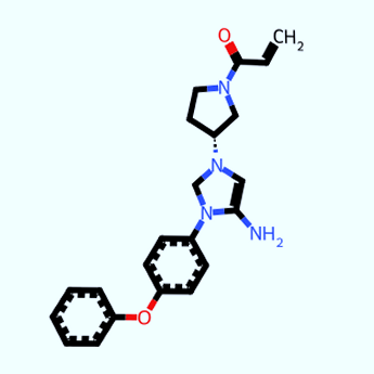 C=CC(=O)N1CC[C@@H](N2C=C(N)N(c3ccc(Oc4ccccc4)cc3)C2)C1